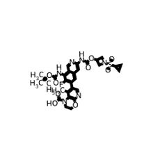 Cc1c(-c2cc3cc(NC(=O)OC4CN(S(=O)(=O)C5CC5)C4)ncc3c(NC(=O)OC(C)(C)C)c2F)cnc2c1N(C(=O)O)CCO2